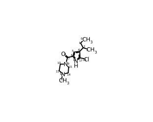 CCC(C)c1cc(C(=O)N2CCN(C)CC2)[nH]c1Cl